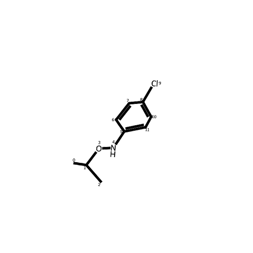 CC(C)ONc1ccc(Cl)cc1